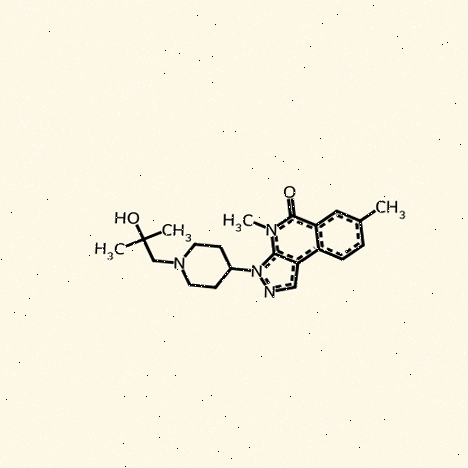 Cc1ccc2c(c1)c(=O)n(C)c1c2cnn1C1CCN(CC(C)(C)O)CC1